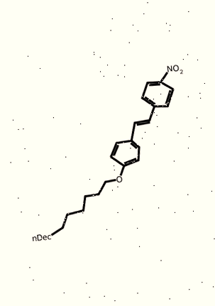 CCCCCCCCCCCCCCCCOc1ccc(C=Cc2ccc([N+](=O)[O-])cc2)cc1